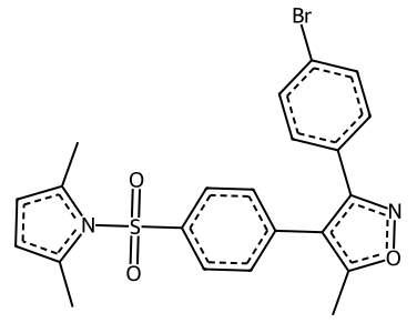 Cc1onc(-c2ccc(Br)cc2)c1-c1ccc(S(=O)(=O)n2c(C)ccc2C)cc1